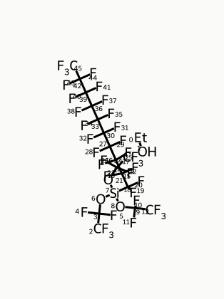 CCO.FC(F)(F)C(F)(F)O[Si](OC(F)(F)C(F)(F)F)(OC(F)(F)C(F)(F)F)C(F)(F)C(F)(F)C(F)(F)C(F)(F)C(F)(F)C(F)(F)C(F)(F)C(F)(F)C(F)(F)C(F)(F)F